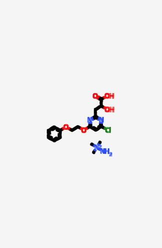 C[N+](C)(C)N.O=C(O)C(O)Cc1nc(Cl)cc(OCCOc2ccccc2)n1